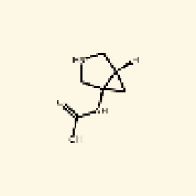 O=C(O)NC12CNC[C@@H]1C2